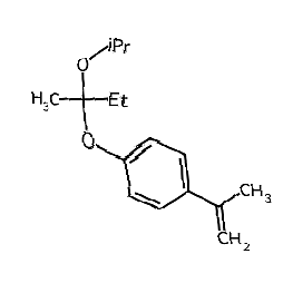 C=C(C)c1ccc(OC(C)(CC)OC(C)C)cc1